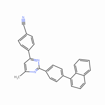 Cc1cc(-c2ccc(C#N)cc2)nc(-c2ccc(-c3cccc4ccccc34)cc2)n1